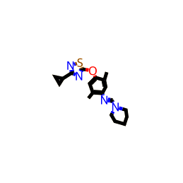 Cc1cc(Oc2nc(C3CC3)ns2)c(C)cc1/N=C/N1CCCCC1